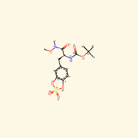 CON(C)C(=O)[C@H](Cc1ccc2c(c1)OS(=O)(=O)O2)NC(=O)OC(C)(C)C